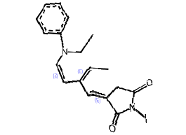 C/C=C(/C=C\N(CC)c1ccccc1)\C=C1/CC(=O)N(I)C1=O